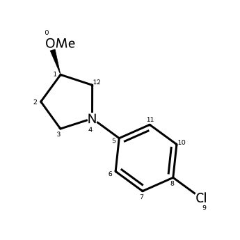 CO[C@@H]1CCN(c2ccc(Cl)cc2)C1